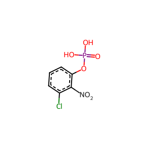 O=[N+]([O-])c1c(Cl)cccc1OP(=O)(O)O